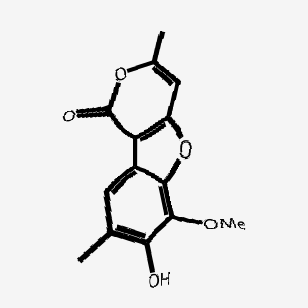 COc1c(O)c(C)cc2c1oc1cc(C)oc(=O)c12